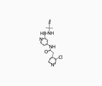 C#CC(C)(C)NBc1cc(NC(=O)Cc2ccncc2Cl)ccn1